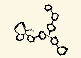 C=C1/C=C\C=C/Cc2ccccc2N1c1cccc(-c2ccc(N(c3ccc(-c4ccccc4)cc3)c3ccc(-c4cccc(-c5ccccc5)c4)cc3)cc2)c1